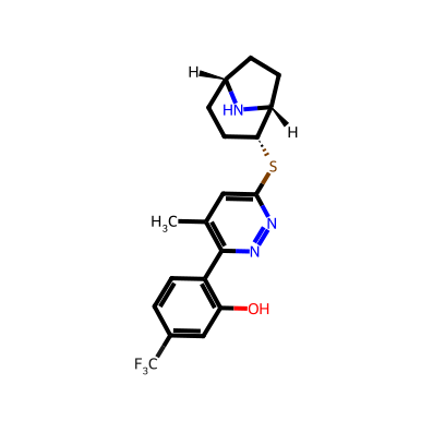 Cc1cc(S[C@@H]2CC[C@@H]3CC[C@H]2N3)nnc1-c1ccc(C(F)(F)F)cc1O